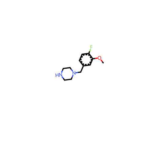 COc1cc(CN2CCNCC2)ccc1F